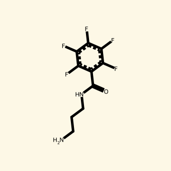 NCCCNC(=O)c1c(F)c(F)c(F)c(F)c1F